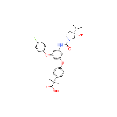 CC(C)C1(O)CCN(C(=O)Nc2cc(Oc3ccc(F)cc3)cc(Oc3ccc(C(C)(C)C(=O)O)cc3)c2)C1